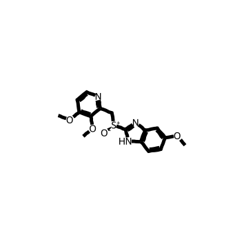 COc1ccc2[nH]c([S@@+]([O-])Cc3nccc(OC)c3OC)nc2c1